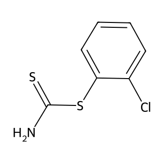 NC(=S)Sc1ccccc1Cl